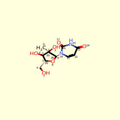 C[C@@]1(O)C(O)[C@@H](CO)O[C@H]1n1ccc(=O)[nH]c1=O